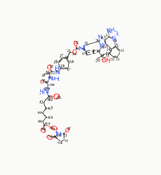 CCN(Cc1nc2c(N)nc3ccccc3c2n1CC(C)(C)O)C(=O)OCc1ccc(NC(=O)[C@H](C)NC(=O)CNC(=O)CCCCCC(=O)ON2C(=O)CCC2=O)cc1